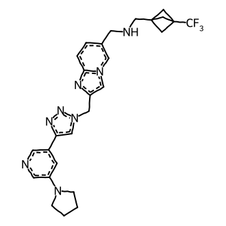 FC(F)(F)C12CC(CNCc3ccc4nc(Cn5cc(-c6cncc(N7CCCC7)c6)nn5)cn4c3)(C1)C2